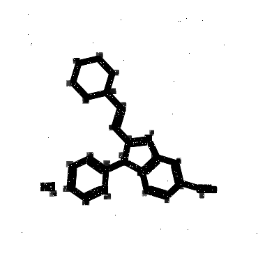 COc1ccc2c(c1)nc(C=CC1CCCCC1)n2-c1ccccn1.Cl